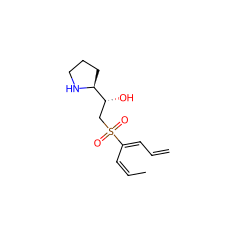 C=C/C=C(\C=C/C)S(=O)(=O)C[C@@H](O)[C@@H]1CCCN1